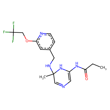 CCC(=O)NC1=CN=CC(C)(NCc2ccnc(OCC(F)(F)F)c2)N1